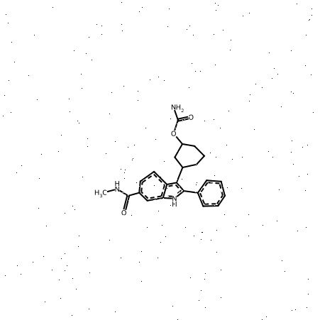 CNC(=O)c1ccc2c(C3CCCC(OC(N)=O)C3)c(-c3ccccc3)[nH]c2c1